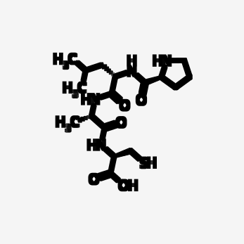 CC(C)C[C@H](NC(=O)[C@@H]1CCCN1)C(=O)N[C@@H](C)C(=O)N[C@@H](CS)C(=O)O